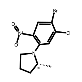 C[C@@H]1CCCN1c1cc(Cl)c(Br)cc1[N+](=O)[O-]